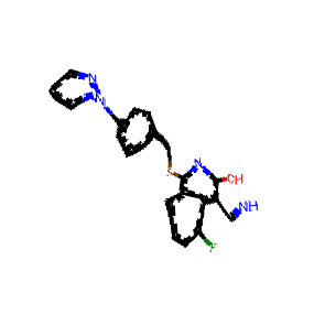 N=Cc1c(O)nc(SCc2ccc(-n3cccn3)cc2)c2cccc(F)c12